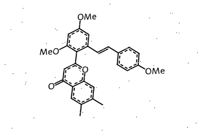 COc1ccc(/C=C/c2cc(OC)cc(OC)c2-c2cc(=O)c3cc(C)c(C)cc3o2)cc1